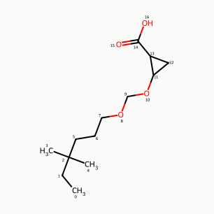 CCC(C)(C)CCCOCOC1CC1C(=O)O